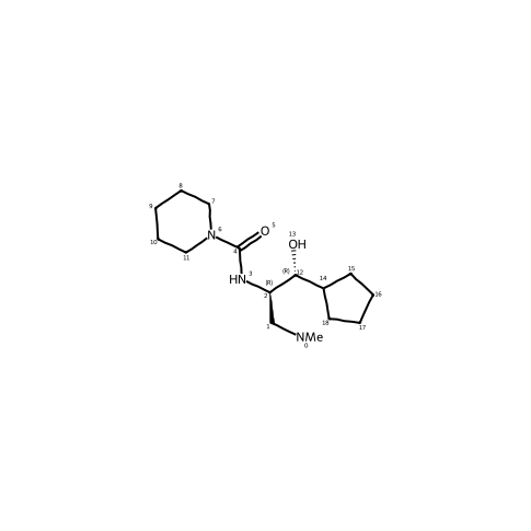 CNC[C@@H](NC(=O)N1CCCCC1)[C@H](O)C1CCCC1